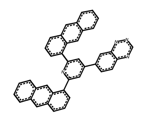 c1ccc2cc3c(-c4cc(-c5ccc6ncnnc6c5)cc(-c5cccc6cc7ccccc7cc56)n4)cccc3cc2c1